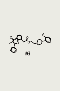 COc1ccccc1N1CCN(CCOC(=O)Cc2cccc3c(=O)c(C)c(-c4ccccc4)oc23)CC1.Cl.Cl